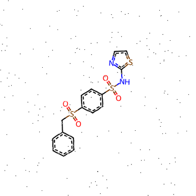 O=S(=O)(Cc1ccccc1)c1ccc(S(=O)(=O)Nc2nccs2)cc1